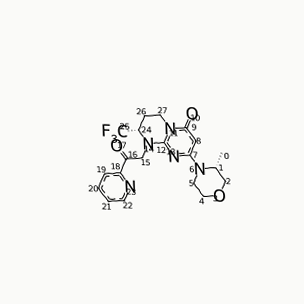 C[C@@H]1COCCN1c1cc(=O)n2c(n1)N(CC(=O)c1ccccn1)[C@H](C(F)(F)F)CC2